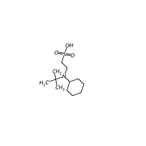 CC(C)(C)N(CCS(=O)(=O)O)C1CCCCC1